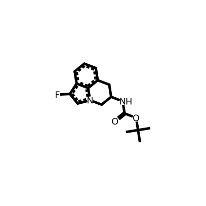 CC(C)(C)OC(=O)NC1Cc2cccc3c(F)cn(c23)C1